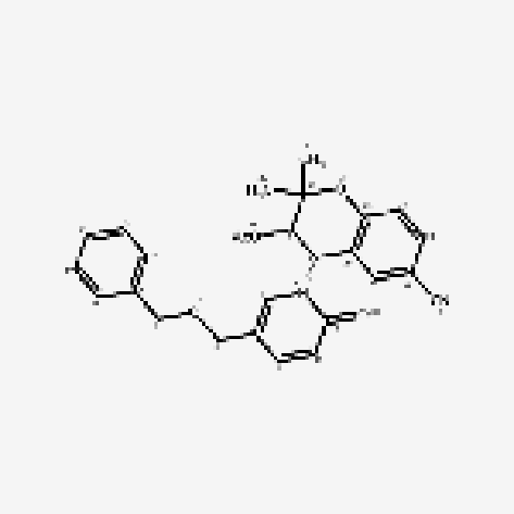 CC(=O)O[C@@H]1[C@@H](n2cc(COCc3ccccc3)ccc2=O)c2cc(C#N)ccc2OC1(C)C